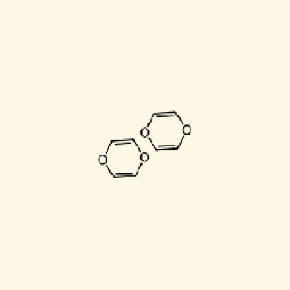 C1=COC=CO1.C1=COC=CO1